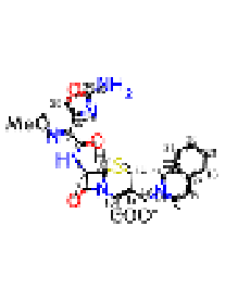 CON=C(C(=O)NC1C(=O)N2C(C(=O)[O-])=C(C[n+]3ccc4ccccc4c3)CS[C@@H]12)c1coc(N)n1